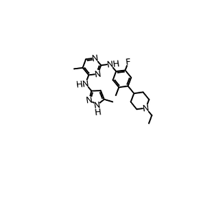 CCN1CCC(c2cc(F)c(Nc3ncc(C)c(Nc4cc(C)[nH]n4)n3)cc2C)CC1